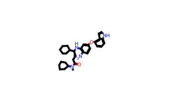 CN(C(=O)CCC(Nc1cc(Oc2cccc3[nH]ccc23)ccc1N)C1CCCCC1)C1CCCCC1